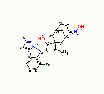 CCC1(C(O)CC2c3c(F)cccc3-c3cncn32)CC2CC/C(=N\O)C(C2)C1